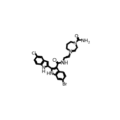 NC(=O)N1CCCN(CCNC(=O)c2c(-c3cc4cc(Cl)ccc4[nH]3)[nH]c3cc(Br)ccc23)CC1